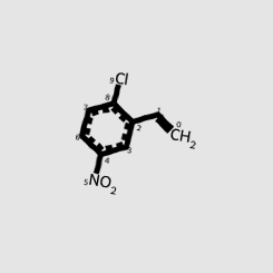 C=[C]c1cc([N+](=O)[O-])ccc1Cl